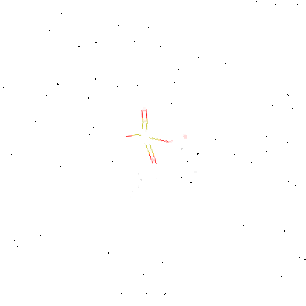 Cl.O=S(=O)(O)O.[AlH3].[Zn]